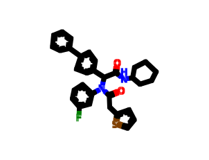 O=C(NC1CCCCC1)C(c1ccc(-c2ccccc2)cc1)N(C(=O)Cc1cccs1)c1cccc(F)c1